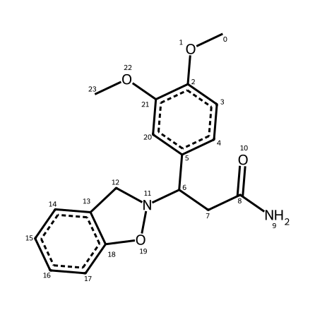 COc1ccc(C(CC(N)=O)N2Cc3ccccc3O2)cc1OC